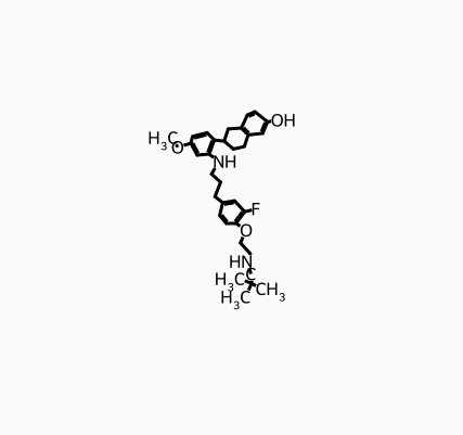 COc1ccc(C2CCc3cc(O)ccc3C2)c(NCCCc2ccc(OCCNCC(C)(C)C)c(F)c2)c1